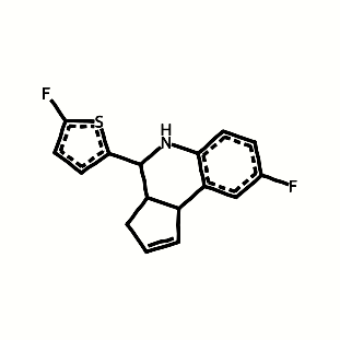 Fc1ccc2c(c1)C1C=CCC1C(c1ccc(F)s1)N2